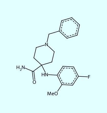 COc1cc(F)ccc1NC1(C(N)=O)CCN(Cc2ccccc2)CC1